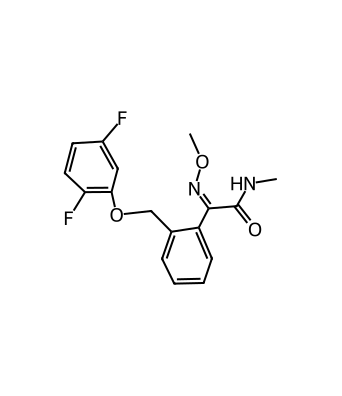 CNC(=O)C(=NOC)c1ccccc1COc1cc(F)ccc1F